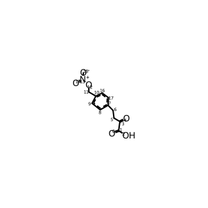 O=C(O)C(=O)CCc1ccc(CO[N+](=O)[O-])cc1